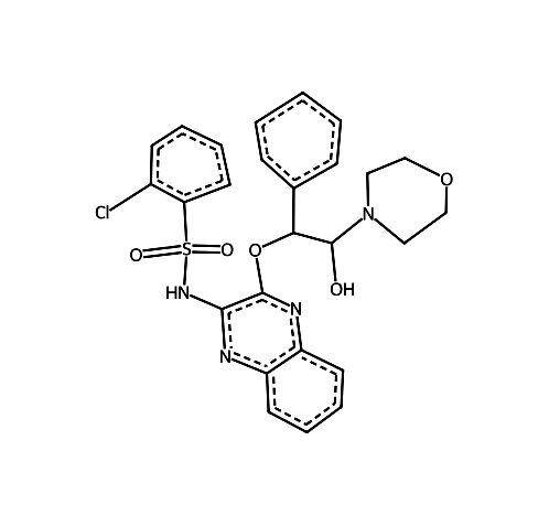 O=S(=O)(Nc1nc2ccccc2nc1OC(c1ccccc1)C(O)N1CCOCC1)c1ccccc1Cl